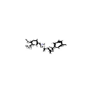 COc1ccc(/C=N/NC(=O)c2sc(-c3cc(C)ccc3C)nc2C)cc1O